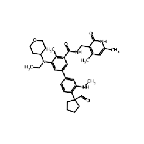 CCN(c1cc(-c2ccc(C3(C=O)CCCC3)c(NC)c2)cc(C(=O)NCc2c(C)cc(C)[nH]c2=O)c1C)C1CCOCC1